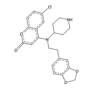 O=c1cc(N(CCc2ccc3c(c2)OCO3)C2CCNCC2)c2cc(Cl)ccc2o1